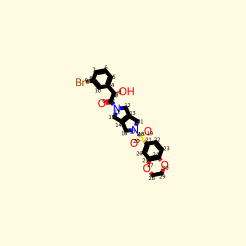 O=C([C@@H](O)c1cccc(Br)c1)N1CC2=C(C1)CN(S(=O)(=O)c1ccc3c(c1)OCCO3)C2